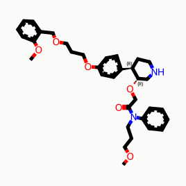 COCCCN(C(=O)CO[C@H]1CNCC[C@@H]1c1ccc(OCCCOCc2ccccc2OC)cc1)c1ccccc1